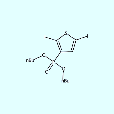 CCCCOP(=O)(OCCCC)c1cc(I)sc1I